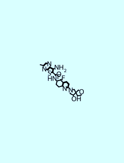 Cc1cnc2c(N)c(C(=O)NC3CCc4nc(N5CC(O)C6(CCOC6)C5)ccc4C3(F)F)sc2n1